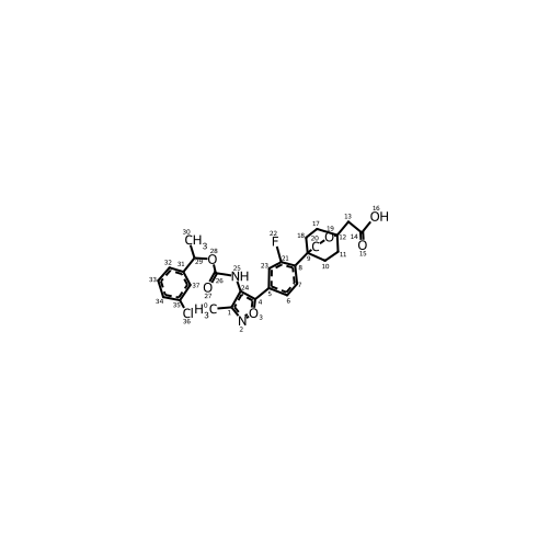 Cc1noc(-c2ccc(C34CCC(CC(=O)O)(CC3)OC4)c(F)c2)c1NC(=O)OC(C)c1cccc(Cl)c1